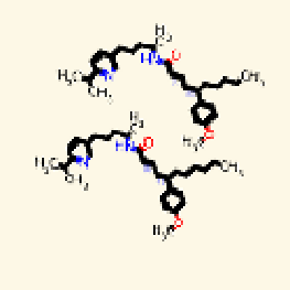 CCCCC/C(=C\C=C\C(=O)N[C@H](C)CCCc1ccc(C(C)C)nc1)c1ccc(OC)cc1.CCCCCC/C(=C\C=C\C(=O)N[C@H](C)CCCc1ccc(C(C)C)nc1)c1ccc(OC)cc1